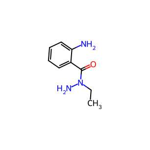 CCN(N)C(=O)c1ccccc1N